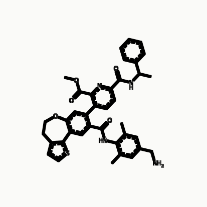 COC(=O)c1nc(C(=O)NC(C)c2ccccc2)ccc1-c1cc2c(cc1C(=O)Nc1c(C)cc(CN)cc1C)-c1sccc1CCO2